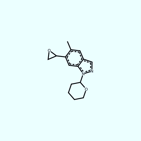 Cc1cc2cnn(C3CCCCO3)c2cc1C1CO1